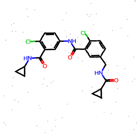 O=C(Nc1ccc(Cl)c(C(=O)NC2CC2)c1)c1cc(CNC(=O)C2CC2)ccc1Cl